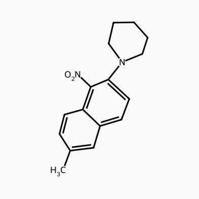 Cc1ccc2c([N+](=O)[O-])c(N3CCCCC3)ccc2c1